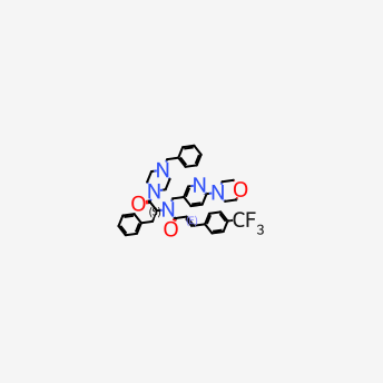 O=C([C@H](Cc1ccccc1)N(Cc1ccc(N2CCOCC2)nc1)C(=O)/C=C/c1ccc(C(F)(F)F)cc1)N1CCN(Cc2ccccc2)CC1